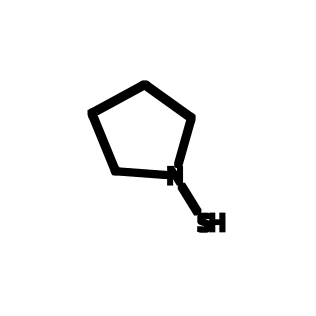 SN1CCCC1